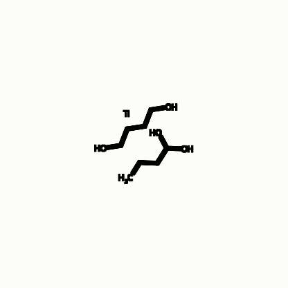 CCCC(O)O.OCCCCO.[Ti]